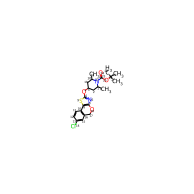 CC1CC(Oc2nc3c(s2)-c2ccc(Cl)cc2CO3)CC(C)N1C(=O)OC(C)(C)C